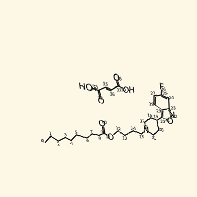 CCCCCCCCCC(=O)OCCCCN1CCC(c2onc3cc(F)ccc23)CC1.O=C(O)/C=C/C(=O)O